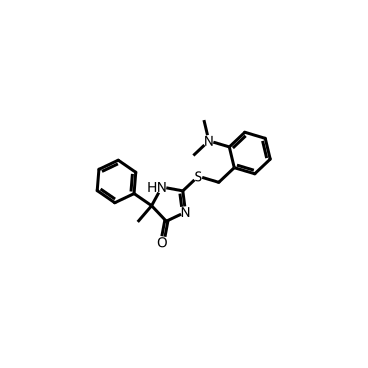 CN(C)c1ccccc1CSC1=NC(=O)C(C)(c2ccccc2)N1